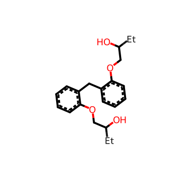 CCC(O)COc1ccccc1Cc1ccccc1OCC(O)CC